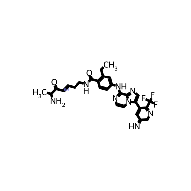 CCc1cc(Nc2nccn3c(C4=CC(=N)CN=C4C(F)(F)F)cnc23)ccc1C(=O)NCC/C=C/C(=O)C(C)N